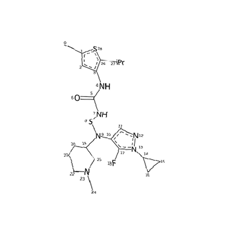 Cc1cc(NC(=O)NSN(c2cnn(C3CC3)c2F)C2CCCN(C)C2)c(C(C)C)s1